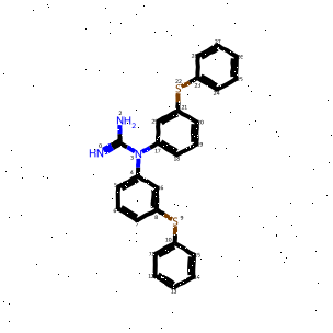 N=C(N)N(c1cccc(Sc2ccccc2)c1)c1cccc(Sc2ccccc2)c1